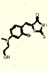 CN(CCO)c1ccc(/C=C2\SC(=S)NC2=O)c(Br)c1